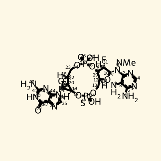 CNN(c1ncnc(N)c1N)[C@@H]1O[C@@H]2COP(O)(=S)O[C@@H]3[C@H](F)[C@@H](COP(=O)(O)O[C@H]2[C@@H]1F)O[C@H]3n1cnc2c(=O)[nH]c(N)nc21